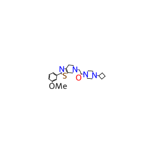 COc1cccc(-c2nc3c(s2)CN(CC(=O)N2CCN(C4CCC4)CC2)CC3)c1